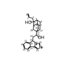 C=CCC1(O)C2CC3CC1CC(C(O)CC1c4ccccc4-c4cncn41)(C3)C2